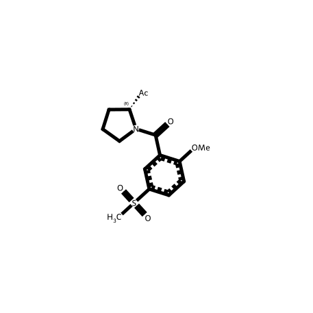 COc1ccc(S(C)(=O)=O)cc1C(=O)N1CCC[C@@H]1C(C)=O